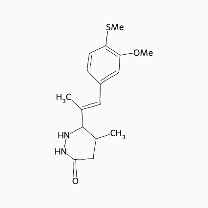 COc1cc(/C=C(\C)C2NNC(=O)CC2C)ccc1SC